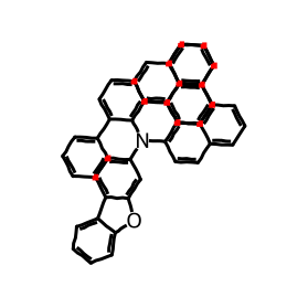 c1ccc(-c2cccc(-c3ccccc3)c2N(c2ccc3c(c2)oc2ccccc23)c2ccc3cccc(C4CCCCC4)c3c2-c2cccc3ccccc23)cc1